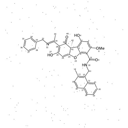 COc1cc(O)c2c(c1C(=O)NCc1c(C)ccc3ccccc13)OC1=CC(O)=C(/C(C)=N/Cc3ccccc3)C(=O)[C@]12C